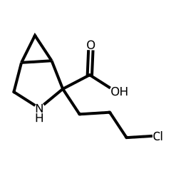 O=C(O)C1(CCCCl)NCC2CC21